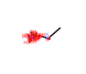 CCCCCCCCCCCCCCCCOC(CC)C(=O)NCCCCCO[C@H]1OC(CO)[C@@H](O[C@@H]2OC(CO)[C@H](O[C@H]3OC(CO)[C@H](O)[C@H](O[C@@H]4OC(CO)[C@H](O)[C@H](O[C@@H]5OC(CO)[C@H](O)[C@H](O)C5O[C@@H]5OC(C)[C@@H](O)[C@H](O)C5O)C4NC(C)=O)C3O)[C@H](O)C2O)[C@H](O)C1O